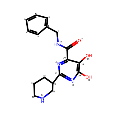 O=C(NCc1ccccc1)c1nc(C2CCCNC2)nc(O)c1O